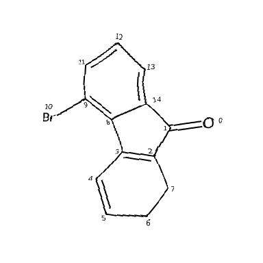 O=C1C2=C(C=CCC2)c2c(Br)cccc21